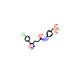 COP(=O)(Cc1ccc(NC(=O)CCc2cnoc2-c2ccc(Cl)cc2)cc1)OC